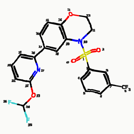 O=S(=O)(c1cccc(C(F)(F)F)c1)N1CCOc2ccc(-c3cccc(OC(F)F)n3)cc21